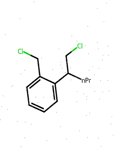 CCCC(CCl)c1ccccc1CCl